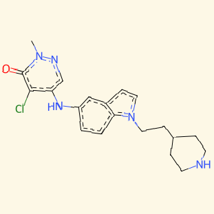 Cn1ncc(Nc2ccc3c(ccn3CCC3CCNCC3)c2)c(Cl)c1=O